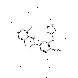 COc1ncc(C(=O)Nc2c(F)cncc2F)cc1OC1CCOC1